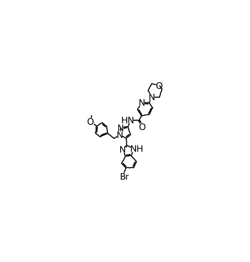 COc1ccc(Cn2nc(NC(=O)c3ccc(N4CCOCC4)nc3)cc2-c2nc3cc(Br)ccc3[nH]2)cc1